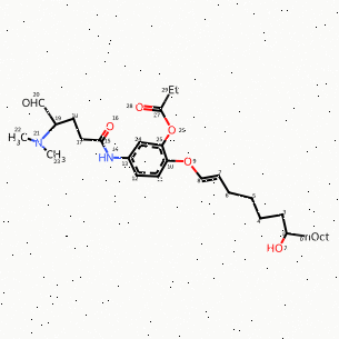 CCCCCCCCC(O)CCCCC=COc1ccc(NC(=O)CCC(C=O)N(C)C)cc1OC(=O)CC